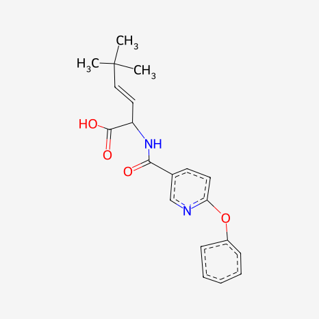 CC(C)(C)/C=C/C(NC(=O)c1ccc(Oc2ccccc2)nc1)C(=O)O